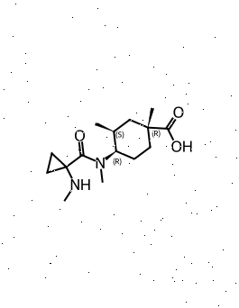 CNC1(C(=O)N(C)[C@@H]2CC[C@@](C)(C(=O)O)C[C@@H]2C)CC1